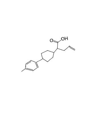 C=CCC(C(=O)O)C1CCC(c2ccc(C)cc2)CC1